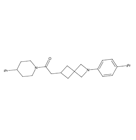 CC(C)c1ccc(N2CC3(CC(CC(=O)N4CCC(C(C)C)CC4)C3)C2)cc1